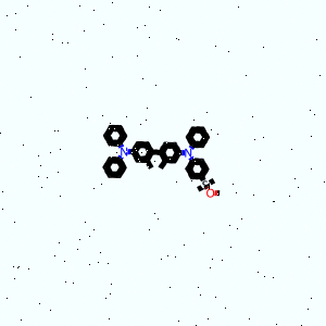 CO[Si](C)(C)c1ccc(N(c2ccccc2)c2ccc(-c3ccc(N(c4ccccc4)c4ccccc4)cc3C)c(C)c2)cc1